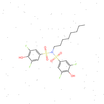 CCCCCCCCN(S(=O)(=O)c1cc(F)c(O)c(F)c1)S(=O)(=O)c1cc(F)c(O)c(F)c1